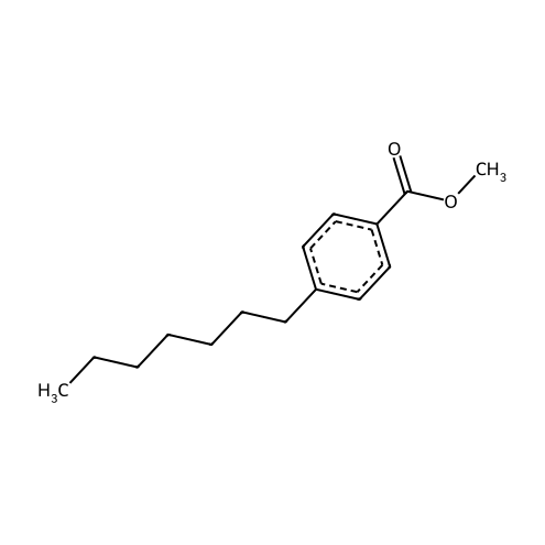 CCCCCCCc1ccc(C(=O)OC)cc1